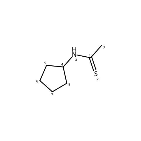 CC(=S)NC1CCCC1